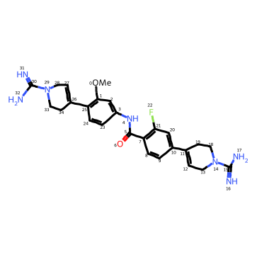 COc1cc(NC(=O)c2ccc(C3=CCN(C(=N)N)CC3)cc2F)ccc1C1=CCN(C(=N)N)CC1